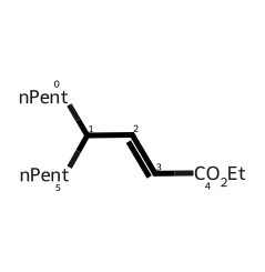 CCCCCC(C=CC(=O)OCC)CCCCC